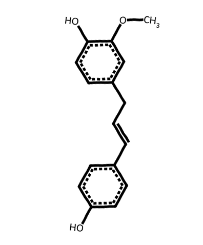 COc1cc(C/C=C/c2ccc(O)cc2)ccc1O